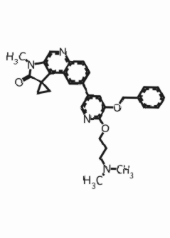 CN(C)CCCOc1ncc(-c2ccc3ncc4c(c3c2)C2(CC2)C(=O)N4C)cc1OCc1ccccc1